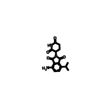 CC(C)c1ccc(N)c2c1C(=O)N(C1CCC(=O)NC1=O)C2=O